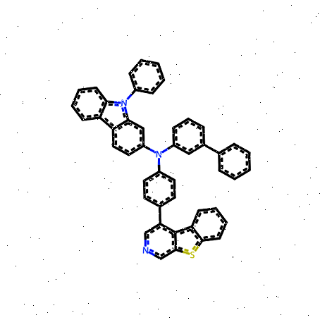 c1ccc(-c2cccc(N(c3ccc(-c4cncc5sc6ccccc6c45)cc3)c3ccc4c5ccccc5n(-c5ccccc5)c4c3)c2)cc1